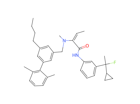 C/C=C(\C(=O)Nc1cccc(C(C)(F)C2CC2)c1)N(C)Cc1cc(CCCC)cc(-c2c(C)cccc2C)c1